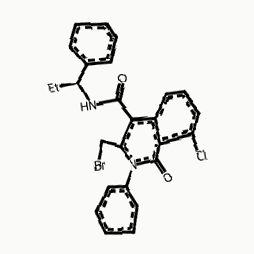 CC[C@H](NC(=O)c1c(CBr)n(-c2ccccc2)c(=O)c2c(Cl)cccc12)c1ccccc1